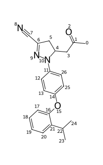 CC(=O)CC1CC(C#N)=NN1c1ccc(Oc2ccccc2C(C)C)cc1